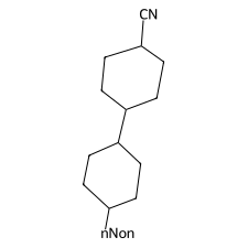 CCCCCCCCCC1CCC(C2CCC(C#N)CC2)CC1